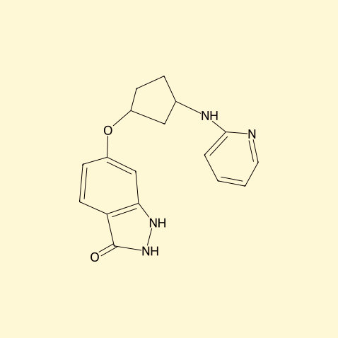 O=c1[nH][nH]c2cc(OC3CCC(Nc4ccccn4)C3)ccc12